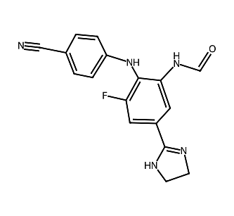 N#Cc1ccc(Nc2c(F)cc(C3=NCCN3)cc2NC=O)cc1